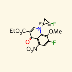 CCOC(=O)c1cn([C@@H]2C[C@H]2F)c2c(OC)c(F)cc([N+](=O)[O-])c2c1=O